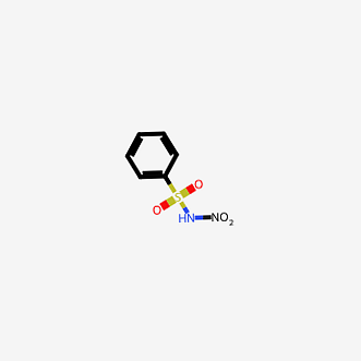 O=[N+]([O-])NS(=O)(=O)c1ccccc1